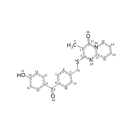 Cc1c(SCc2ccc(C(=O)c3ccc(O)cc3)cc2)nc2ccccn2c1=O